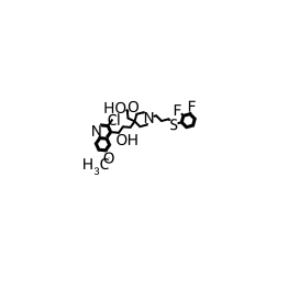 COc1ccc2ncc(Cl)c(C(O)CCC3(CC(=O)O)CCN(CCCSc4cccc(F)c4F)CC3)c2c1